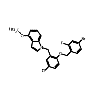 O=C(O)Oc1cccc2c1ccn2Cc1cc(Cl)ccc1OCc1ccc(Br)cc1F